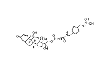 C[C@]12C=CC(=O)C=C1CC[C@H]1[C@@H]3C[C@@H](O)[C@](O)(C(=O)COC(=O)NCC(=O)NCc4ccc(CON(O)O)cc4)[C@@]3(C)C[C@H](O)[C@@]12F